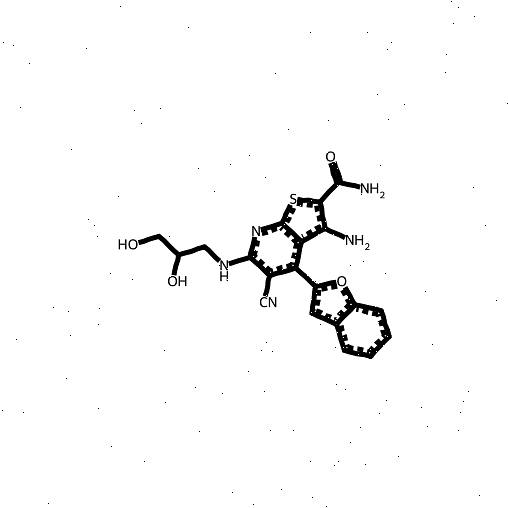 N#Cc1c(NCC(O)CO)nc2sc(C(N)=O)c(N)c2c1-c1cc2ccccc2o1